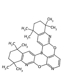 CC1(C)CCC(C)(C)c2nc3c(cc21)B1c2cc4c(nc2Oc2nccc(c21)O3)C(C)(C)CCC4(C)C